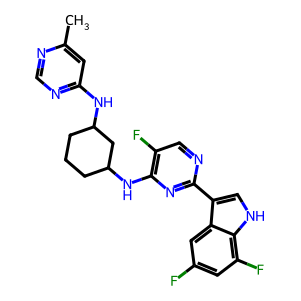 Cc1cc(NC2CCCC(Nc3nc(-c4c[nH]c5c(F)cc(F)cc45)ncc3F)C2)ncn1